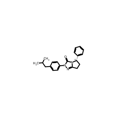 CC(C)Cc1ccc(-n2nc3n(c2=O)[C@H](c2ccccc2)CC3)cc1